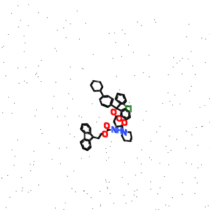 O=C(C[C@H](NC(=O)OCCC1c2ccccc2-c2ccccc21)C(=O)N1CCCCC1)OC(C1=CC=C(C2CCCCC2)CC=C1)(c1ccccc1)c1ccccc1Cl